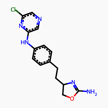 NC1=NC(CCc2ccc(Nc3cncc(Cl)n3)cc2)CO1